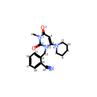 Cn1c(=O)cc(N2CCCCC2)n(Cc2ccccc2C#N)c1=O